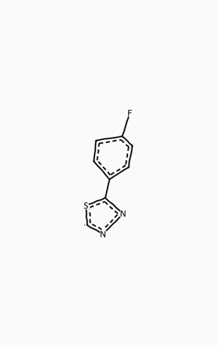 Fc1ccc(-c2nn[c]s2)cc1